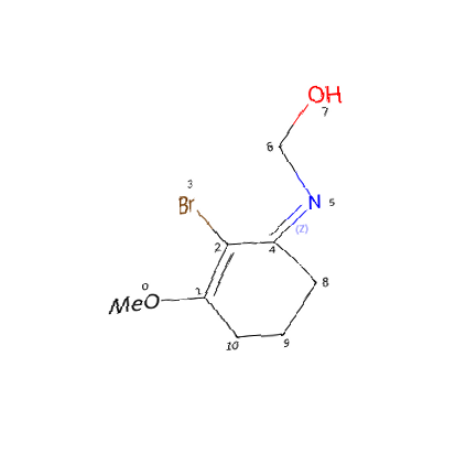 COC1=C(Br)/C(=N\CO)CCC1